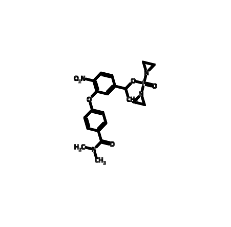 CC(OP(=O)(N1CC1)N1CC1)c1ccc([N+](=O)[O-])c(Oc2ccc(C(=O)N(C)C)cc2)c1